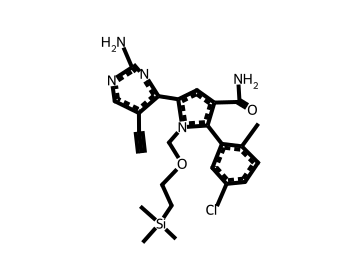 C#Cc1cnc(N)nc1-c1cc(C(N)=O)c(-c2cc(Cl)ccc2C)n1COCC[Si](C)(C)C